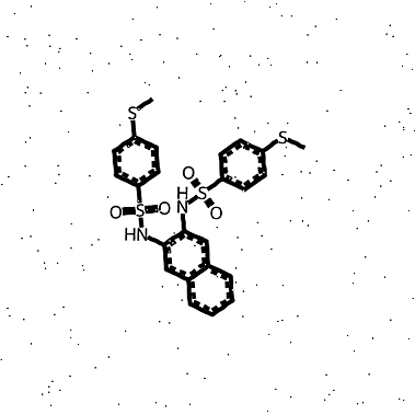 CSc1ccc(S(=O)(=O)Nc2cc3ccccc3cc2NS(=O)(=O)c2ccc(SC)cc2)cc1